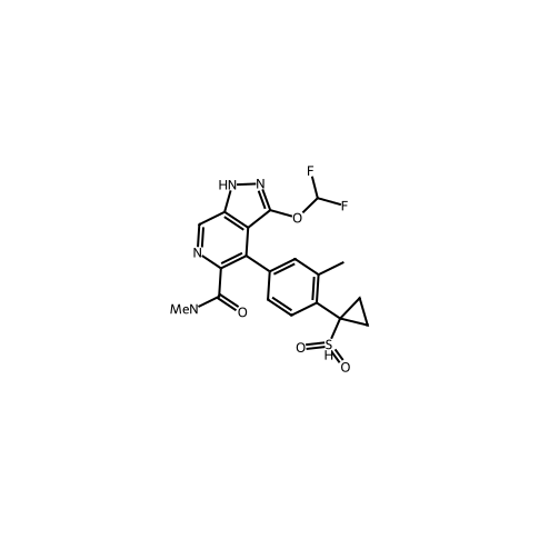 CNC(=O)c1ncc2[nH]nc(OC(F)F)c2c1-c1ccc(C2([SH](=O)=O)CC2)c(C)c1